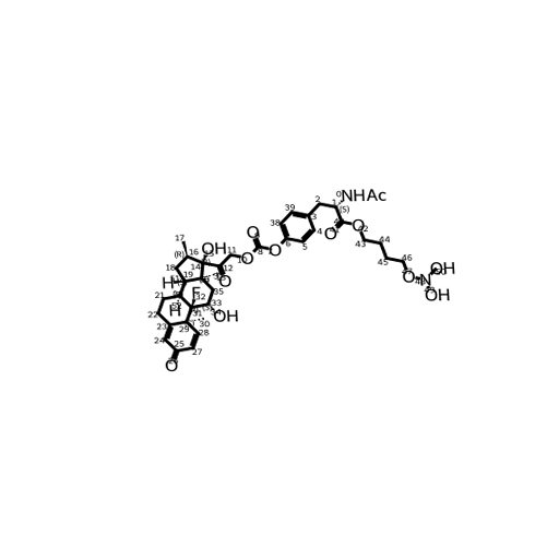 CC(=O)N[C@@H](Cc1ccc(OC(=O)OCC(=O)[C@@]2(O)[C@H](C)C[C@H]3[C@@H]4CCC5=CC(=O)C=C[C@]5(C)[C@@]4(F)[C@@H](O)C[C@@]32C)cc1)C(=O)OCCCCON(O)O